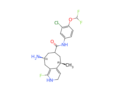 C[C@@H]1CC(C(=O)Nc2ccc(OC(F)F)c(Cl)c2)C[C@H](N)CC2=C(F)NCC=C21